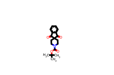 CC(C)(C)OC(=O)N1CCC2(CC1)C(=O)c1ccccc1C2=O